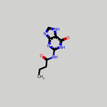 CCCC(=O)Nc1nc2nc[nH]c2c(=O)[nH]1